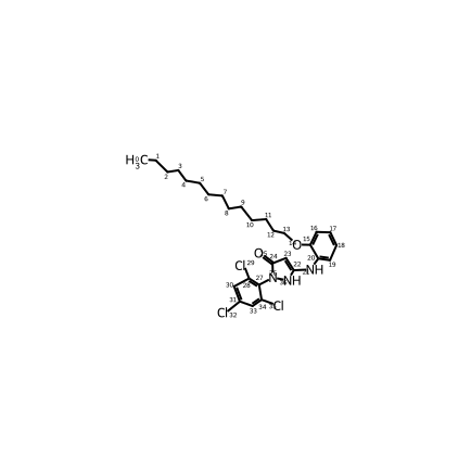 CCCCCCCCCCCCCCOc1ccccc1Nc1cc(=O)n(-c2c(Cl)cc(Cl)cc2Cl)[nH]1